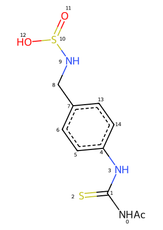 CC(=O)NC(=S)Nc1ccc(CNS(=O)O)cc1